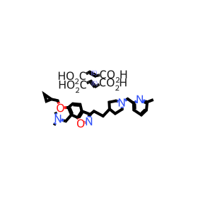 Cc1cccc(CN2CCC(CCc3noc4c(CN(C)C)c(OCC5CC5)ccc34)CC2)n1.O=C(O)/C=C/C(=O)O.O=C(O)/C=C/C(=O)O